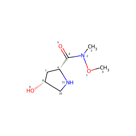 CON(C)C(=O)[C@H]1C[C@@H](O)CN1